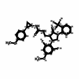 COc1ccc([C@H]2C[C@@H]2NC(=O)NCC2C(=O)N(c3ncccc3C(F)(F)F)C[C@H]2c2c(F)cc(OC)cc2F)cc1